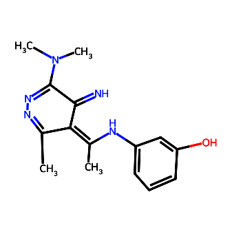 CC1=NN=C(N(C)C)C(=N)/C1=C(/C)Nc1cccc(O)c1